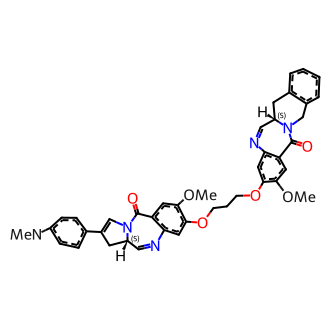 CNc1ccc(C2=CN3C(=O)c4cc(OC)c(OCCCOc5cc6c(cc5OC)C(=O)N5Cc7ccccc7C[C@H]5C=N6)cc4N=C[C@@H]3C2)cc1